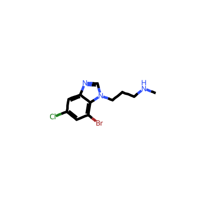 CNCCCn1cnc2cc(Cl)cc(Br)c21